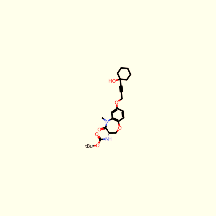 CN1C(=O)[C@@H](NC(=O)OC(C)(C)C)COc2ccc(OCC#CC3(O)CCCCC3)cc21